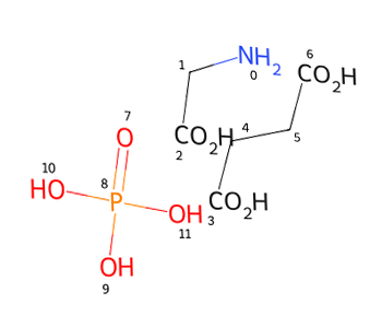 NCC(=O)O.O=C(O)CCC(=O)O.O=P(O)(O)O